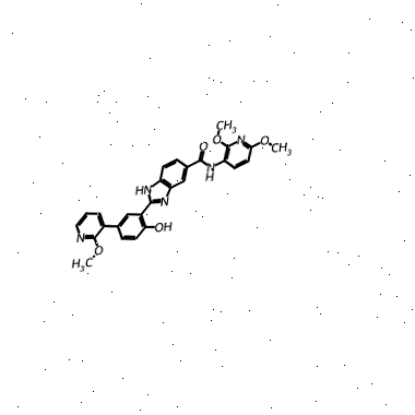 COc1ccc(NC(=O)c2ccc3[nH]c(-c4cc(-c5cccnc5OC)ccc4O)nc3c2)c(OC)n1